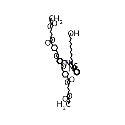 C=CC(=O)OCCCCOC(=O)C1CCC(COc2ccc(OCC3CCC(C(=O)OCCCCOC(=O)C=C)CC3)c(/C=N/N(CCCCCCCCCCO)c3nc4ccccc4s3)c2)CC1